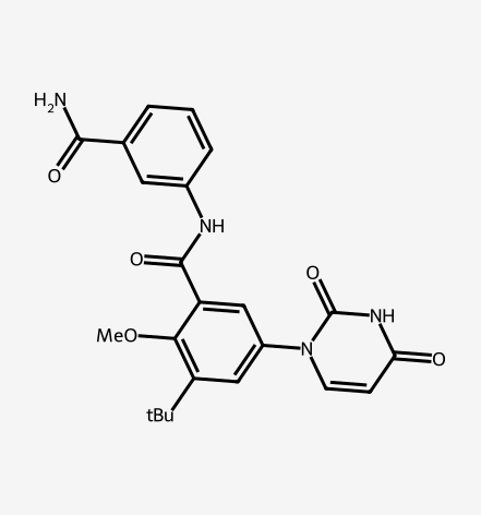 COc1c(C(=O)Nc2cccc(C(N)=O)c2)cc(-n2ccc(=O)[nH]c2=O)cc1C(C)(C)C